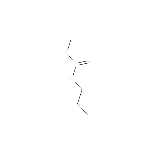 CCCOS(=O)NC